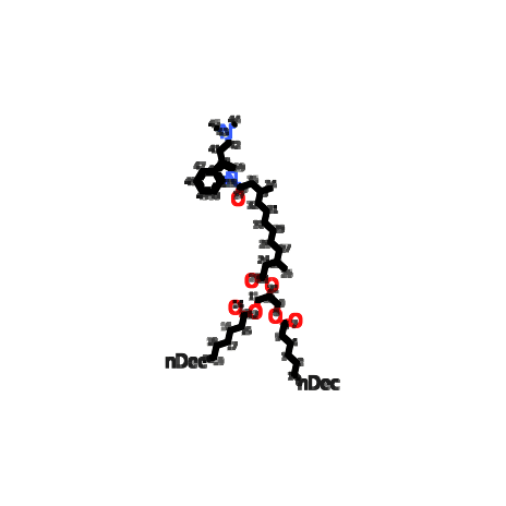 CCCCCCCCCCCCCCCC(=O)OCC(COC(=O)CCCCCCCCCCCCCCC)OC(=O)CC(C)CCCCCCC(C)CC(=O)n1cc(CCN(C)C)c2ccccc21